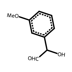 COc1cccc(C(O)C=O)c1